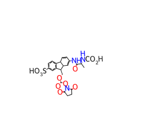 CC(NC(=O)O)C(=O)NC1=CC2C(C=C1)c1ccc(S(=O)(=O)O)cc1C2COC(=O)ON1C(=O)CCC1=O